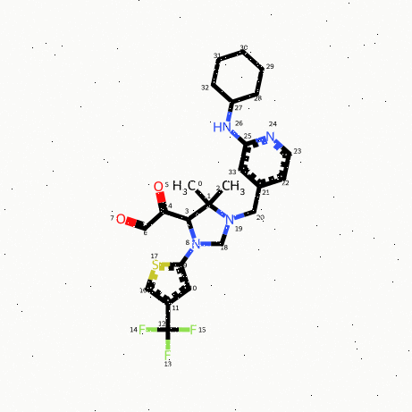 CC1(C)C(C(=O)C=O)N(c2cc(C(F)(F)F)cs2)CN1Cc1ccnc(NC2CCCCC2)c1